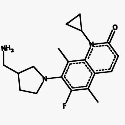 Cc1c(F)c(N2CCC(CN)C2)c(C)c2c1ccc(=O)n2C1CC1